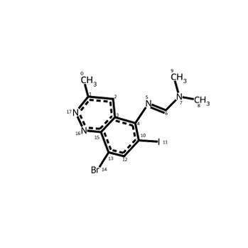 Cc1cc2c(/N=C/N(C)C)c(I)cc(Br)c2nn1